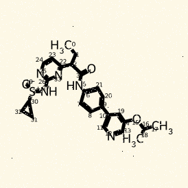 CCC(C(=O)Nc1ccc(-c2cncc(OC(C)C)c2)cc1)c1ccnc(N[S+]([O-])C2CC2)n1